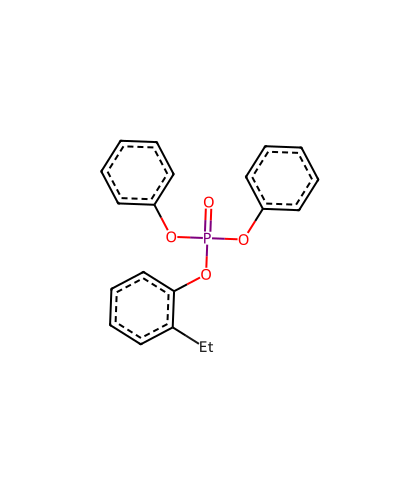 CCc1ccccc1OP(=O)(Oc1ccccc1)Oc1ccccc1